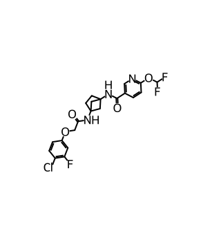 O=C(COc1ccc(Cl)c(F)c1)NC12CCC(NC(=O)c3ccc(OC(F)F)nc3)(C1)C2